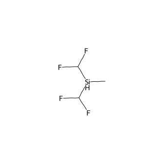 C[SiH](C(F)F)C(F)F